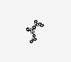 c1ccc(-c2nc(-c3ccc(-c4cccc5c4sc4ccccc45)cc3)nc(-c3ccc(-c4nc5c6ccccc6ccc5c5c4sc4ccccc45)cc3)n2)cc1